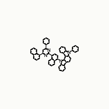 c1ccc(-c2cc(-c3cccc4ccccc34)nc(-c3ccc(-n4c5ccccc5c5ccc6c(c7ccccc7n6-c6ccccc6)c54)c4ccccc34)n2)cc1